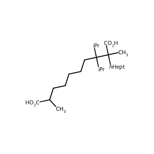 CCCCCCCC(C)(C(=O)O)C(CCCCCC(C)C(=O)O)(C(C)C)C(C)C